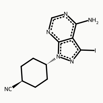 N#C[C@H]1CC[C@H](n2nc(I)c3c(N)ncnc32)CC1